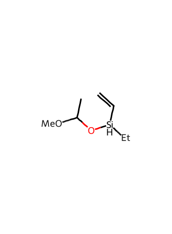 C=C[SiH](CC)OC(C)OC